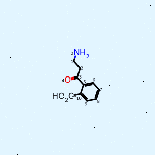 NCCC(=O)c1ccccc1C(=O)O